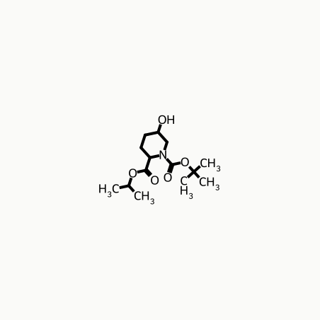 CC(C)OC(=O)C1CCC(O)CN1C(=O)OC(C)(C)C